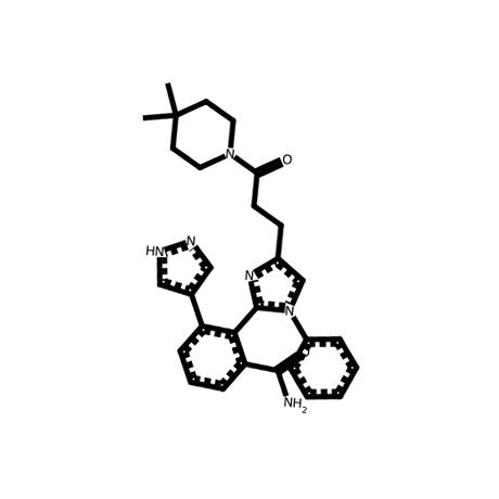 CC1(C)CCN(C(=O)CCc2cn(-c3ccccc3)c(-c3c(C(N)=O)cccc3-c3cn[nH]c3)n2)CC1